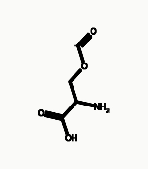 NC(CO[C]=O)C(=O)O